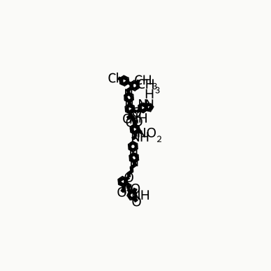 CC1(C)CCC(CN2CCN(c3ccc(C(=O)NS(=O)(=O)c4ccc(NC[C@H]5CC[C@@H](N6CCN(CCCCOc7cccc8c7CN(C7CCC(=O)NC7=O)C8=O)CC6)CC5)c([N+](=O)[O-])c4)c(Oc4cnc5[nH]ccc5c4)c3)CC2)=C(c2ccc(Cl)cc2)C1